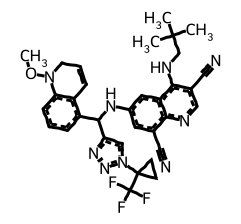 CON1CC=Cc2c(C(Nc3cc(C#N)c4ncc(C#N)c(NCC(C)(C)C)c4c3)c3cn(C4(C(F)(F)F)CC4)nn3)cccc21